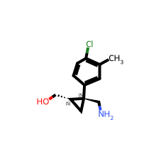 Cc1cc([C@]2(CN)C[C@@H]2CO)ccc1Cl